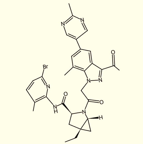 CC[C@@]12C[C@@H](C(=O)Nc3nc(Br)ccc3C)N(C(=O)Cn3nc(C(C)=O)c4cc(-c5cnc(C)nc5)cc(C)c43)[C@@H]1C2